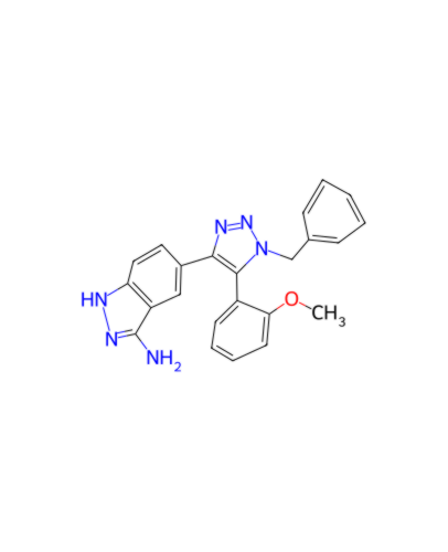 COc1ccccc1-c1c(-c2ccc3[nH]nc(N)c3c2)nnn1Cc1ccccc1